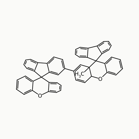 CC12C=C(c3ccc4c(c3)C3(c5ccccc5Oc5ccccc53)c3ccccc3-4)C=CC1Oc1ccccc1C21c2ccccc2-c2ccccc21